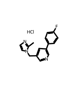 Cc1nccn1Cc1cncc(-c2ccc(F)cc2)c1.Cl